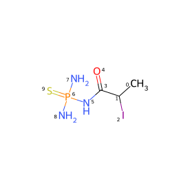 CC(I)C(=O)NP(N)(N)=S